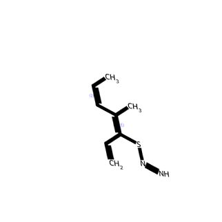 C=C/C(SN=N)=C(C)\C=C/C